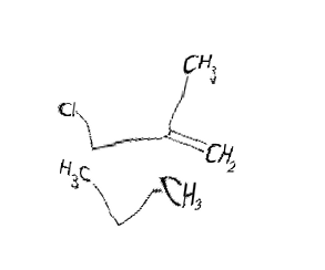 C=C(C)CCl.CCC